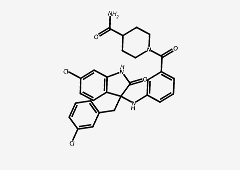 NC(=O)C1CCN(C(=O)c2cccc(NC3(Cc4cccc(Cl)c4)C(=O)Nc4cc(Cl)ccc43)c2)CC1